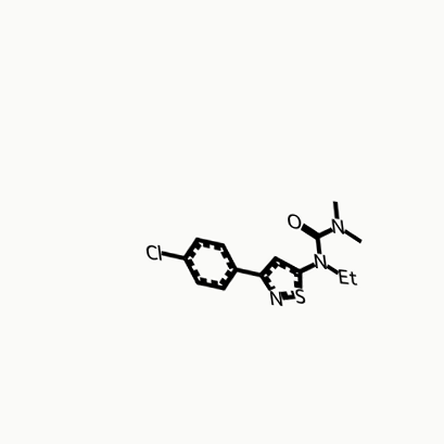 CCN(C(=O)N(C)C)c1cc(-c2ccc(Cl)cc2)ns1